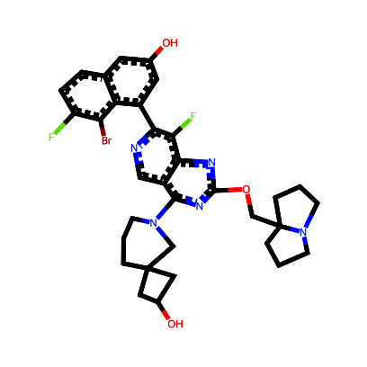 Oc1cc(-c2ncc3c(N4CCCC5(CC(O)C5)C4)nc(OCC45CCCN4CCC5)nc3c2F)c2c(Br)c(F)ccc2c1